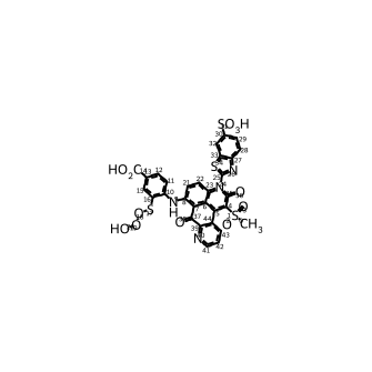 CS(=O)(=O)c1c2c3c(c(Nc4ccc(C(=O)O)cc4SOOO)ccc3n(-c3nc4ccc(S(=O)(=O)O)cc4s3)c1=O)C(=O)c1ncccc1-2